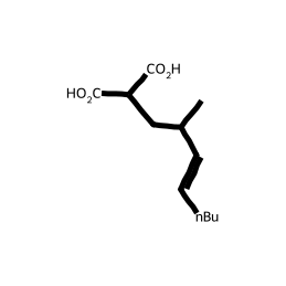 CCCCC=CC(C)CC(C(=O)O)C(=O)O